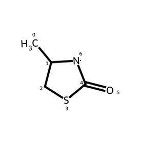 CC1CSC(=O)[N]1